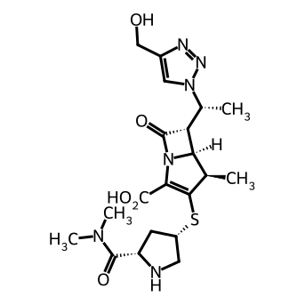 C[C@H]([C@H]1C(=O)N2C(C(=O)O)=C(S[C@@H]3CN[C@H](C(=O)N(C)C)C3)[C@H](C)[C@H]12)n1cc(CO)nn1